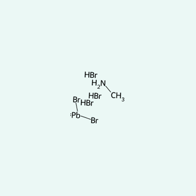 Br.Br.Br.CN.[Br][Pb][Br]